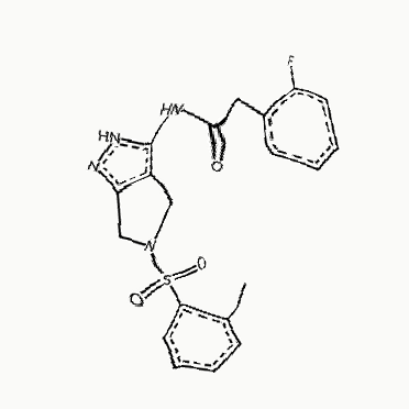 Cc1ccccc1S(=O)(=O)N1Cc2n[nH]c(NC(=O)Cc3ccccc3F)c2C1